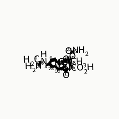 C=C(N)NCc1ccnc(/C=C2/C(=O)N3[C@@H](C(=O)O)[C@](C)(COC(N)=O)S(=O)(=O)[C@H]23)c1